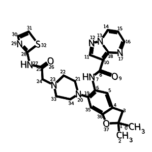 CC1(C)Cc2cc(NC(=O)c3cnn4cccnc34)c(N3CCN(CC(=O)Nc4nccs4)CC3)cc2O1